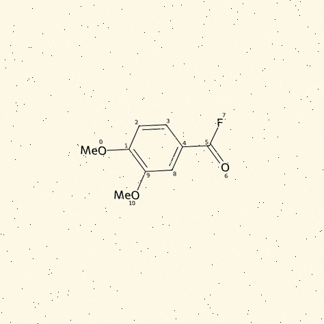 COc1ccc(C(=O)F)cc1OC